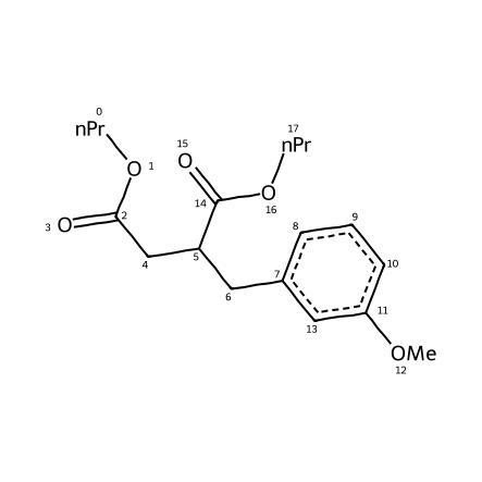 CCCOC(=O)CC(Cc1cccc(OC)c1)C(=O)OCCC